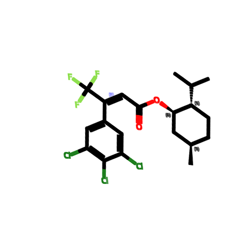 CC(C)[C@@H]1CC[C@@H](C)C[C@H]1OC(=O)/C=C(\c1cc(Cl)c(Cl)c(Cl)c1)C(F)(F)F